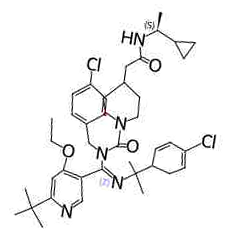 CCOc1cc(C(C)(C)C)ncc1/C(=N/C(C)(C)C1C=CC(Cl)=CC1)N(Cc1ccc(Cl)cc1)C(=O)N1CCC(CC(=O)N[C@@H](C)C2CC2)CC1